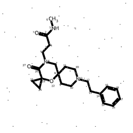 CNC(=O)CCN1CC2(CCN(CCc3ccccc3)CC2)OC2(CC2)C1=O